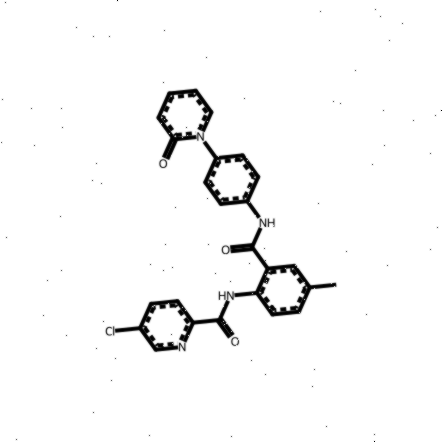 Cc1ccc(NC(=O)c2ccc(Cl)cn2)c(C(=O)Nc2ccc(-n3ccccc3=O)cc2)c1